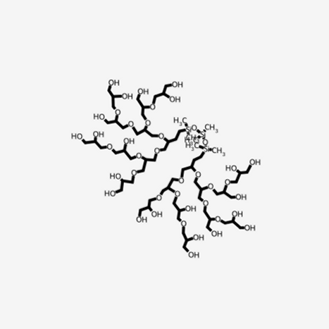 C[Si](C)(CCC(COCC(COCC(O)CO)OCC(O)COCC(O)CO)OCC(COCC(CO)OCC(O)CO)OCC(CO)OCC(O)CO)O[Si](C)(C)O[Si](C)(C)CCC(COCC(COCC(O)CO)OCC(O)COCC(O)CO)OCC(COCC(CO)OCC(O)CO)OCC(CO)OCC(O)CO